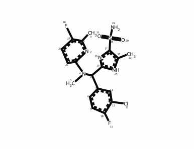 Cc1nc(N(C)C(c2ccc(F)c(Cl)c2)c2nc(S(N)(=O)=O)c(C)[nH]2)ccc1F